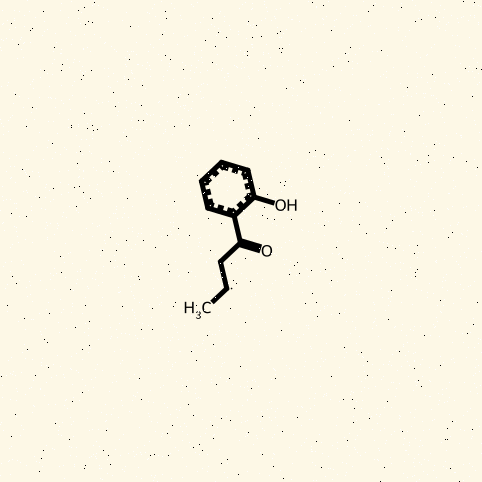 C[CH]CC(=O)c1ccccc1O